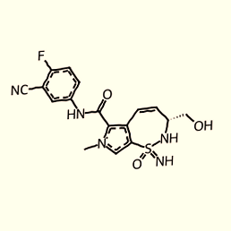 Cn1cc2c(c1C(=O)Nc1ccc(F)c(C#N)c1)C=C[C@H](CO)NS2(=N)=O